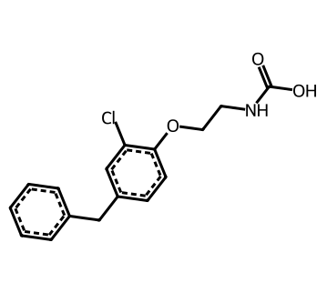 O=C(O)NCCOc1ccc(Cc2ccccc2)cc1Cl